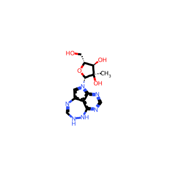 C[C@@]1(O)[C@H](O)[C@@H](CO)O[C@H]1n1cc2c3c(ncnc31)NNC=N2